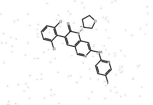 O=c1c(-c2c(Cl)cccc2Cl)cc2cnc(Nc3ccc(F)cn3)cc2n1[C@@H]1CCOC1